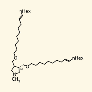 CCCCCCC=CCCCCCCCCOCC1CN(C)C[C@H]1COCCCCCCCCC=CCCCCCC